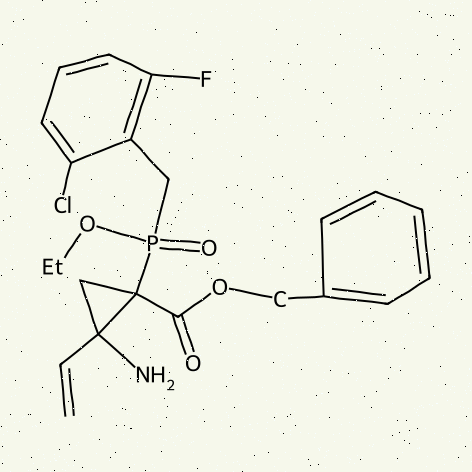 C=CC1(N)CC1(C(=O)OCc1ccccc1)P(=O)(Cc1c(F)cccc1Cl)OCC